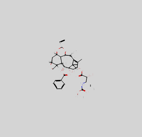 C=C[C@@H]1O[C@H]2C[C@H]3OC[C@@]3(OC(C)=O)[C@H]3[C@H](OC(=O)c4ccccc4)[C@]4(O)C[C@H](OC(=O)[C@@H](O)[C@H](CC(C)C)NC(=O)OC(C)(C)C)C(C)=C([C@H](OC(C)=O)[C@H](O1)[C@]23C)C4(C)C